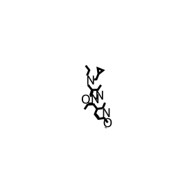 CCCN(Cc1c(C)nn2c(C3C=CC(OC)=NC3C)c(C)oc12)CC1CC1